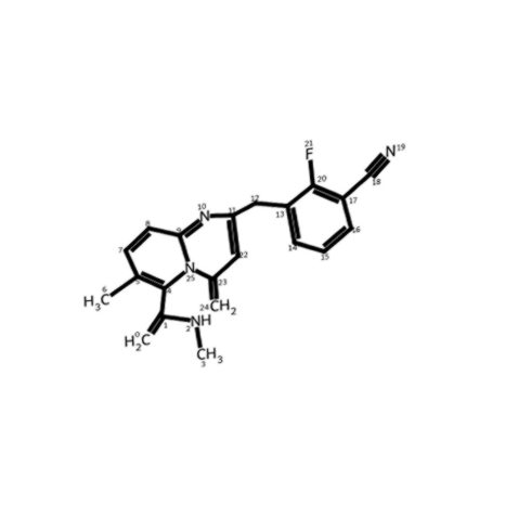 C=C(NC)C1=C(C)C=CC2=NC(Cc3cccc(C#N)c3F)=CC(=C)N21